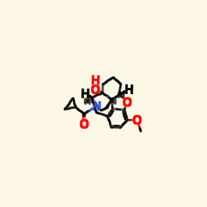 COc1ccc2c3c1O[C@H]1CCCC4(O)[C@@H](C2)N(C(=O)C2CC2)CC[C@]314